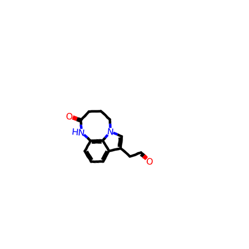 O=CCc1cn2c3c(cccc13)NC(=O)CCC2